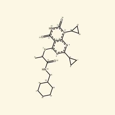 CC(Sc1nc(C2CC2)nc2c1c(=O)[nH]c(=O)n2C1CC1)C(=O)NCC1CCCCC1